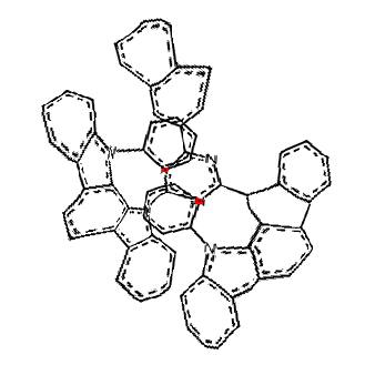 c1ccc(-n2c3ccccc3c3ccc4c(c32)C(c2nc(-c3ccc5ccccc5c3)nc(-n3c5ccccc5c5ccc6c7ccccc7n(-c7ccccc7)c6c53)n2)c2ccccc2-4)cc1